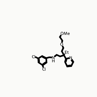 CC[C@@](CCNCc1cc(Cl)cc(Cl)c1)(CCOCCOC)c1ccccn1